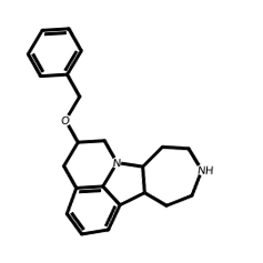 c1ccc(COC2Cc3cccc4c3N(C2)C2CCNCCC42)cc1